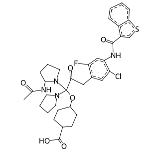 CC(=O)NC1CCCN1C(OC1CCC(C(=O)O)CC1)(C(=O)Cc1cc(Cl)c(NC(=O)c2csc3ccccc23)cc1F)N1CCCC1